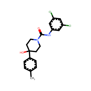 Cc1ccc(C2(O)CCN(C(=O)Nc3cc(Cl)cc(Cl)c3)CC2)cc1